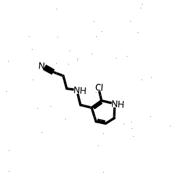 N#CCCNCC1=C(Cl)NCC=C1